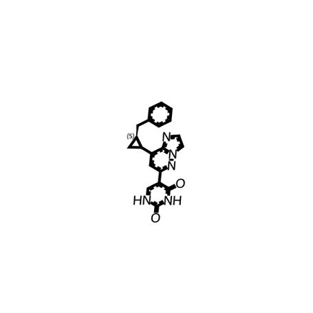 O=c1[nH]cc(-c2cc(C3C[C@H]3Cc3ccccc3)c3nccn3n2)c(=O)[nH]1